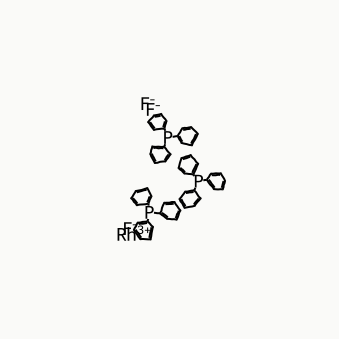 [F-].[F-].[F-].[Rh+3].c1ccc(P(c2ccccc2)c2ccccc2)cc1.c1ccc(P(c2ccccc2)c2ccccc2)cc1.c1ccc(P(c2ccccc2)c2ccccc2)cc1